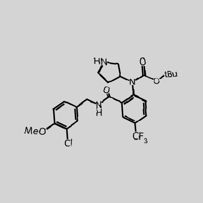 COc1ccc(CNC(=O)c2cc(C(F)(F)F)ccc2N(C(=O)OC(C)(C)C)C2CCNC2)cc1Cl